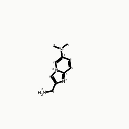 CN(C)c1ccc2nc(CN)cn2c1